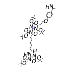 CC(=N)c1ccc(OCCCN(C(=O)OC(C)(C)C)/C(=N\C(=O)OC(C)(C)C)N(CCCCCCCN/C(=N\C(=O)OC(C)(C)C)NC(=O)OC(C)(C)C)C(=O)OC(C)(C)C)cc1